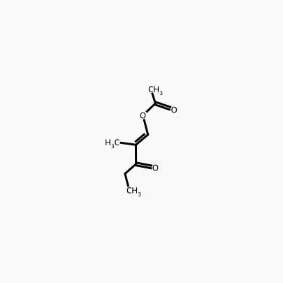 CCC(=O)/C(C)=C/OC(C)=O